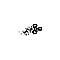 CC(O)C(Oc1cccc(C(c2ccccc2)c2ccccc2)c1)n1cnc2c(N)ncnc21